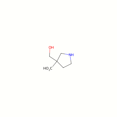 O=C(O)C1(CO)CCNC1